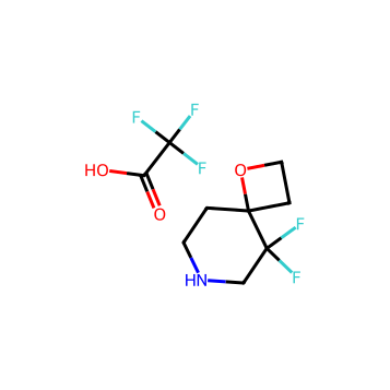 FC1(F)CNCCC12CCO2.O=C(O)C(F)(F)F